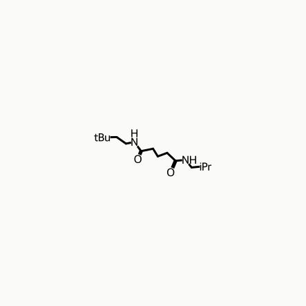 CC(C)CNC(=O)CCCC(=O)NCCC(C)(C)C